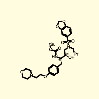 CC(C)CN(C[C@@H](O)[C@H](Cc1ccc(OCCN2CCOCC2)cc1)NC(=O)OC(C)(C)C)S(=O)(=O)c1ccc2c(c1)OCO2